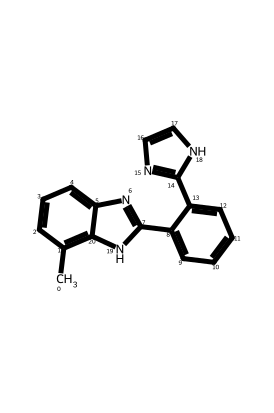 Cc1cccc2nc(-c3ccccc3-c3ncc[nH]3)[nH]c12